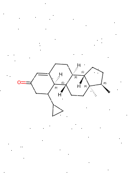 C[C@@H]1CC[C@H]2[C@@H]3CCC4=CC(=O)CC(C5CC5)[C@@H]4[C@H]3CC[C@]12C